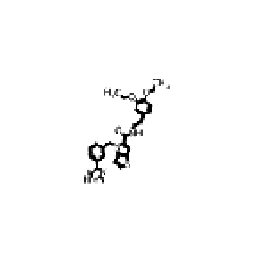 CCOc1ccc(CCNC(=O)c2cc3sccc3n2Cc2cccc(-c3nn[nH]n3)c2)cc1OCC